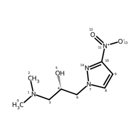 CN(C)C[C@H](O)Cn1ccc([N+](=O)[O-])n1